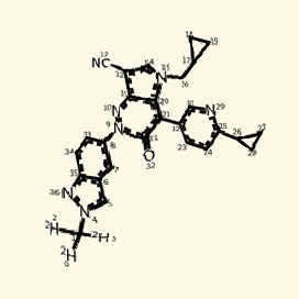 [2H]C([2H])([2H])n1cc2cc(-n3nc4c(C#N)cn(CC5CC5)c4c(-c4ccc(C5CC5)nc4)c3=O)ccc2n1